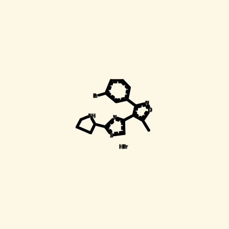 Br.Cc1onc(-c2cccc(Br)c2)c1-c1csc(C2CCCN2)n1